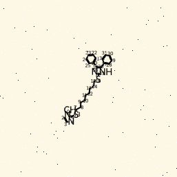 Cn1ccnc1SCCCCCCCCCSc1nc(-c2ccccc2)c(-c2ccccc2)[nH]1